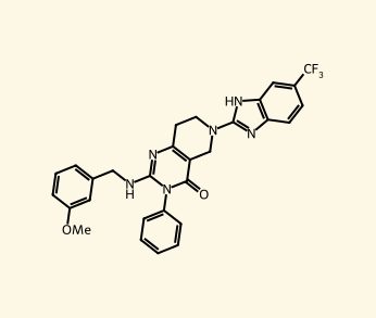 COc1cccc(CNc2nc3c(c(=O)n2-c2ccccc2)CN(c2nc4ccc(C(F)(F)F)cc4[nH]2)CC3)c1